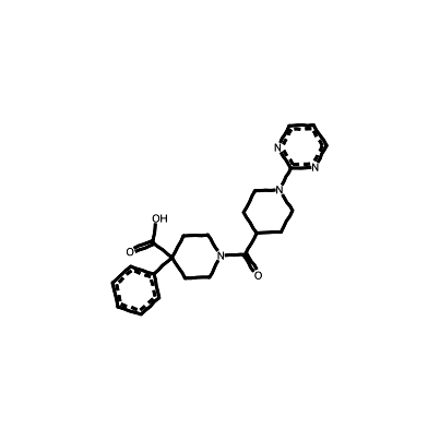 O=C(C1CCN(c2ncccn2)CC1)N1CCC(C(=O)O)(c2ccccc2)CC1